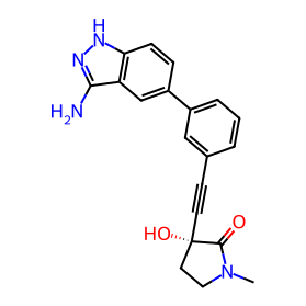 CN1CC[C@@](O)(C#Cc2cccc(-c3ccc4[nH]nc(N)c4c3)c2)C1=O